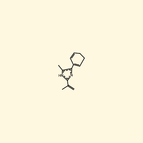 C=C(C)c1nc(C2=CCCC=C2)c(C)[nH]1